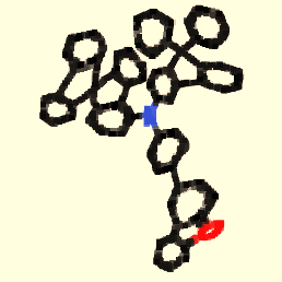 c1ccc(C2(c3ccccc3)c3ccccc3-c3cc(N(c4ccc(-c5ccc6oc7ccccc7c6c5)cc4)c4cccc5c4-c4ccccc4C54c5ccccc5-c5ccccc54)ccc32)cc1